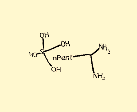 CCCCCC(N)N.O[Si](O)(O)O